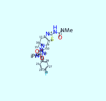 CNC(=O)Nc1nc2c(s1)C1CN(C(=O)C(C)C)CC(C2)N1c1nc(-c2ccc(F)cc2)no1